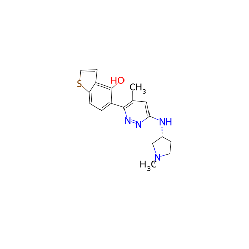 Cc1cc(N[C@@H]2CCN(C)C2)nnc1-c1ccc2sccc2c1O